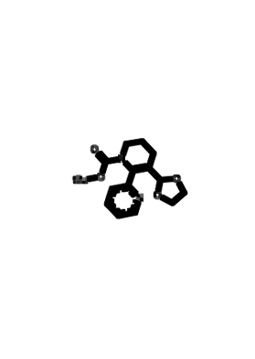 CC(C)(C)OC(=O)N1CCCC(C2OCCO2)=C1c1ccccn1